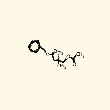 CC(=O)OCC(C)(C)CC(=O)OCc1ccccc1